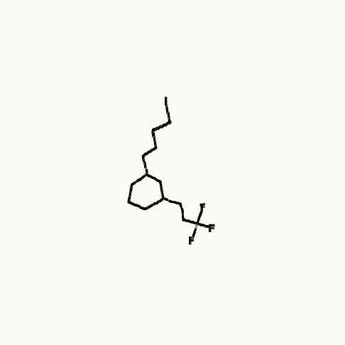 FC(F)(F)CCC1CCCC(CCCCI)C1